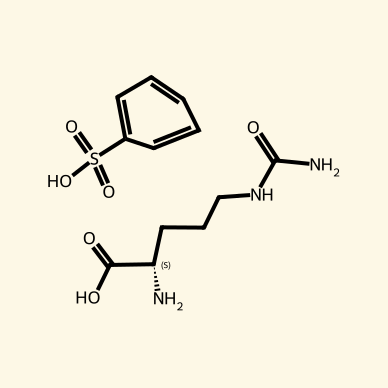 NC(=O)NCCC[C@H](N)C(=O)O.O=S(=O)(O)c1ccccc1